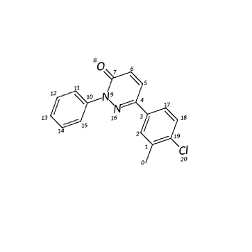 Cc1cc(-c2ccc(=O)n(-c3ccccc3)n2)ccc1Cl